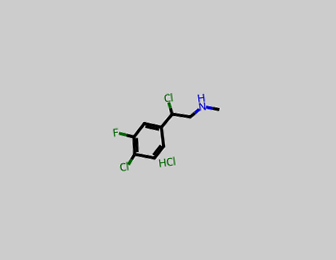 CNCC(Cl)c1ccc(Cl)c(F)c1.Cl